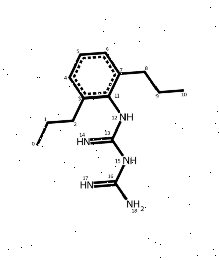 CCCc1cccc(CCC)c1NC(=N)NC(=N)N